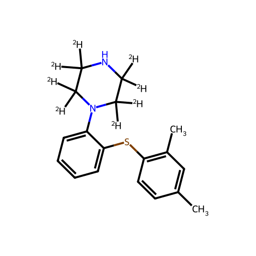 [2H]C1([2H])NC([2H])([2H])C([2H])([2H])N(c2ccccc2Sc2ccc(C)cc2C)C1([2H])[2H]